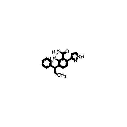 CCC(c1ccccc1)c1ccc(-c2cc[nH]n2)c(C(N)=O)c1N